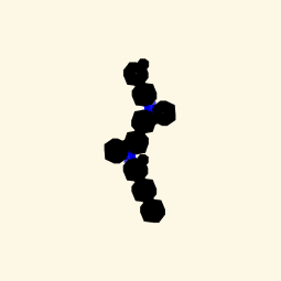 CC1C=C(c2ccc(N3c4ccc(-c5ccc6c(c5)c5ccccc5n6C5C=CC(c6ccc(-c7ccccc7)cc6)=CC5C)cc4C4C=CC=CC43)cc2)C=CC1